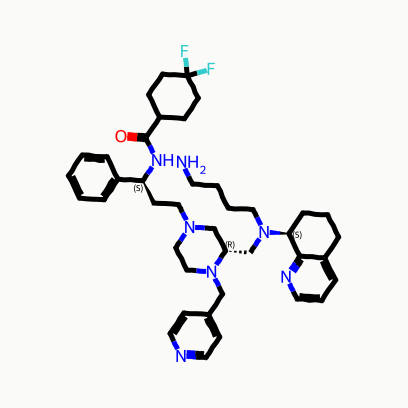 NCCCCN(C[C@H]1CN(CC[C@H](NC(=O)C2CCC(F)(F)CC2)c2ccccc2)CCN1Cc1ccncc1)[C@H]1CCCc2cccnc21